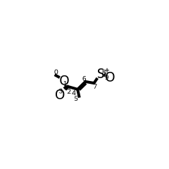 COC(=O)C(C)=CC[S+]=O